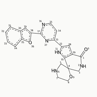 O=C1NCC2(CNCCO2)c2[nH]c(-c3ccnc(-c4cc5ccccc5o4)n3)cc21